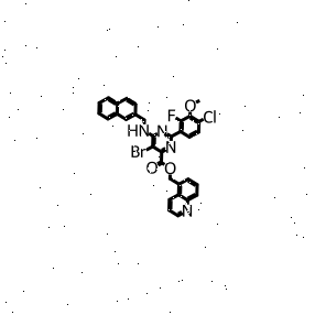 COc1c(Cl)ccc(-c2nc(NCc3ccc4ccccc4c3)c(Br)c(C(=O)OCc3cccc4ncccc34)n2)c1F